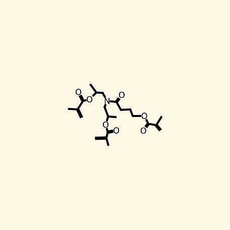 C=C(C)C(=O)OCCCC(=O)N(CC(C)OC(=O)C(=C)C)CC(C)OC(=O)C(=C)C